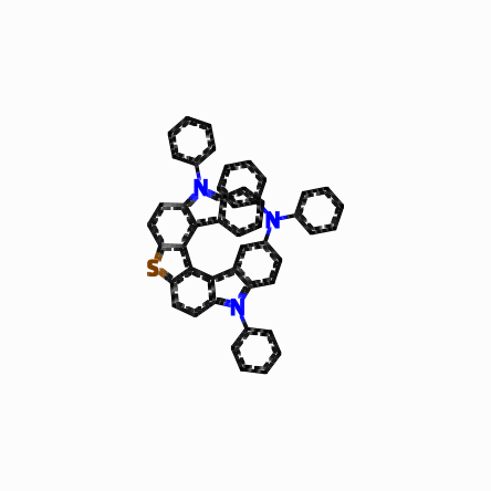 c1ccc(N(c2ccccc2)c2ccc3c(c2)c2c4c(ccc2n3-c2ccccc2)sc2ccc3c(c5ccccc5n3-c3ccccc3)c24)cc1